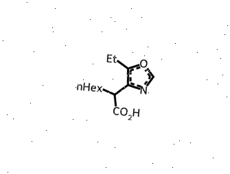 CCCCCCC(C(=O)O)c1ncoc1CC